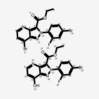 CCOC(=O)c1c2nccc(Br)c2nn1-c1ccc(Br)cc1F.CCOC(=O)c1c2nccc(O)c2nn1-c1ccc(Br)cc1F